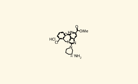 COC(=O)c1cc2nc(N3CCC[C@@H](N)C3)n(Cc3ccccc3Cl)c2c(=O)[nH]1.Cl